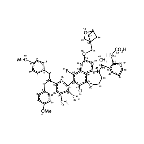 COc1ccc(CN(Cc2ccc(OC)cc2)c2cc(C)c(C(F)(F)F)c(-c3c(Cl)c4c5c(nc(OCC67COC(C6)C7)nc5c3F)N([C@H](C)c3cccnc3NC(=O)O)CCO4)n2)cc1